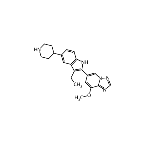 CCc1c(-c2cc(OC)c3ncnn3c2)[nH]c2ccc(C3CCNCC3)cc12